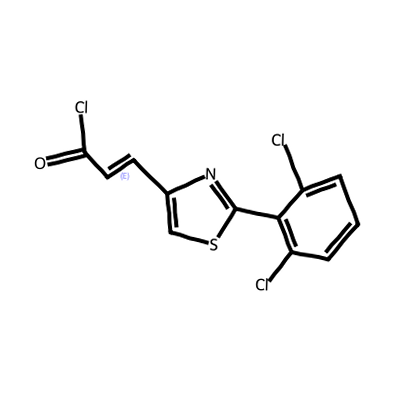 O=C(Cl)/C=C/c1csc(-c2c(Cl)cccc2Cl)n1